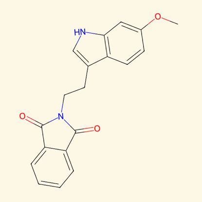 COc1ccc2c(CCN3C(=O)c4ccccc4C3=O)c[nH]c2c1